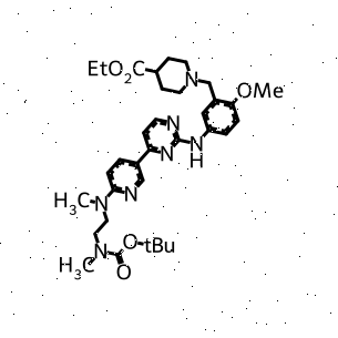 CCOC(=O)C1CCN(Cc2cc(Nc3nccc(-c4ccc(N(C)CCN(C)C(=O)OC(C)(C)C)nc4)n3)ccc2OC)CC1